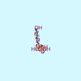 O=P(O)(O)OP(=O)(O)OCCOCCOCCO